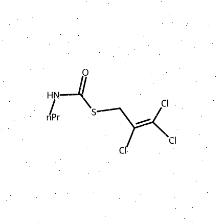 CCCNC(=O)SCC(Cl)=C(Cl)Cl